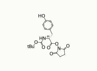 CC(C)(C)OC(=O)N[C@H](Cc1ccc(O)cc1)C(=O)ON1C(=O)CCC1=O